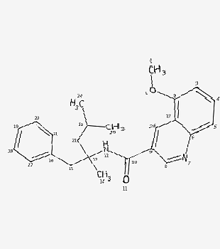 COc1cccc2ncc(C(=O)NC(C)(Cc3ccccc3)CC(C)C)cc12